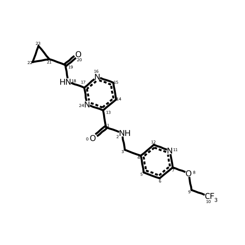 O=C(NCc1ccc(OCC(F)(F)F)nc1)c1ccnc(NC(=O)C2CC2)n1